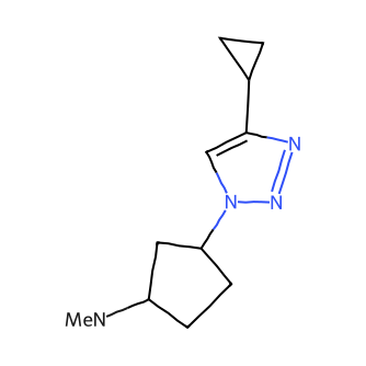 CNC1CCC(n2cc(C3CC3)nn2)C1